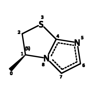 C[C@H]1CSc2nccn21